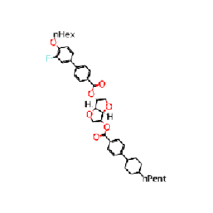 CCCCCCOc1ccc(-c2ccc(C(=O)O[C@@H]3CO[C@@H]4[C@H]3OC[C@@H]4OC(=O)c3ccc(C4CCC(CCCCC)CC4)cc3)cc2)cc1F